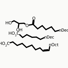 CCCCCCCC/C=C\CCCCCCCC(=O)O.CCCCCCCCCCCCCCCC(=O)O.CCCCCCCCCCCCCCCC(=O)OCC(O)CO